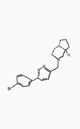 Brc1ccc(-c2ccc(CN3CCN4CCC[C@@H]4C3)nn2)cc1